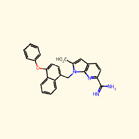 N=C(N)c1ccc2cc(C(=O)O)n(Cc3ccc(Oc4ccccc4)c4ccccc34)c2n1